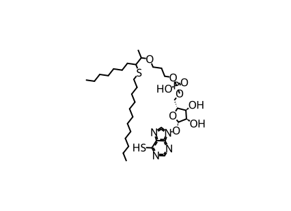 CCCCCCCCCCCCSC(CCCCCCC)C(C)OCCCOP(=O)(O)OC[C@H]1O[C@@H](On2cnc3c(S)ncnc32)[C@H](O)[C@@H]1O